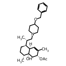 CC(=O)O[C@@H]1[C][C@@]2(O)[C@H](C)CC[C@@H]([C@H](C)CN3CCC(OCc4ccccc4)CC3)[C@H]2C=C1C